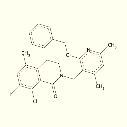 Cc1cc(C)c(CN2CCc3c(C)cc(I)c(Cl)c3C2=O)c(OCc2ccccc2)n1